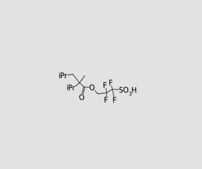 CC(C)CC(C)(C(=O)OCC(F)(F)C(F)(F)S(=O)(=O)O)C(C)C